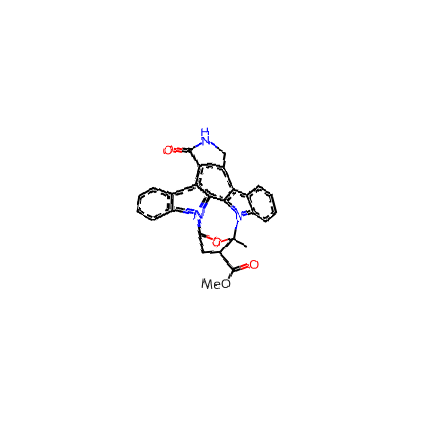 COC(=O)C1CC2OC1(C)n1c3ccccc3c3c4c(c5c6ccccc6n2c5c31)C(=O)NC4